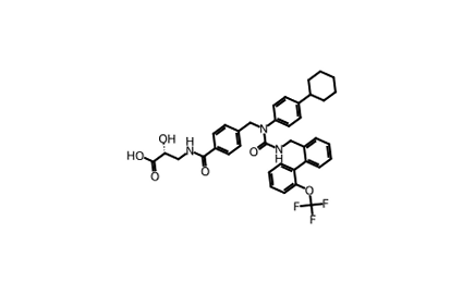 O=C(NC[C@@H](O)C(=O)O)c1ccc(CN(C(=O)NCc2ccccc2-c2ccccc2OC(F)(F)F)c2ccc(C3CCCCC3)cc2)cc1